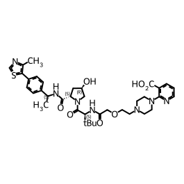 Cc1ncsc1-c1ccc([C@H](C)NC(=O)[C@@H]2C[C@@H](O)CN2C(=O)[C@@H](NC(=O)COCCN2CCN(c3ncccc3C(=O)O)CC2)C(C)(C)C)cc1